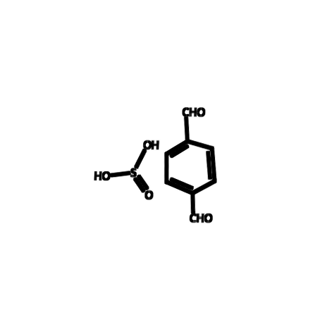 O=Cc1ccc(C=O)cc1.O=S(O)O